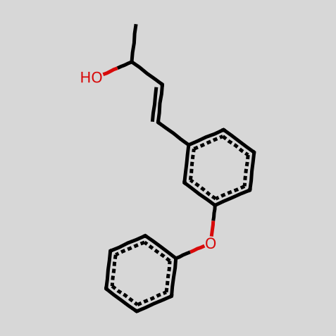 CC(O)C=Cc1cccc(Oc2ccccc2)c1